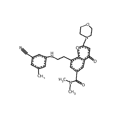 Cc1cc(C#N)cc(NCCc2cc(C(=O)N(C)C)cc3c(=O)cc(N4CCOCC4)oc23)c1